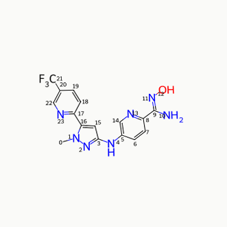 Cn1nc(Nc2ccc(/C(N)=N/O)nc2)cc1-c1ccc(C(F)(F)F)cn1